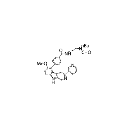 CCCCN(C=O)CCCNC(=O)c1ccc(-c2c(OC)ccc3[nH]c4cnc(-c5cccnc5)cc4c23)cc1